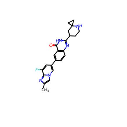 Cc1cn2cc(-c3ccc4nc(C5CCNC6(CC6)C5)[nH]c(=O)c4c3)cc(F)c2n1